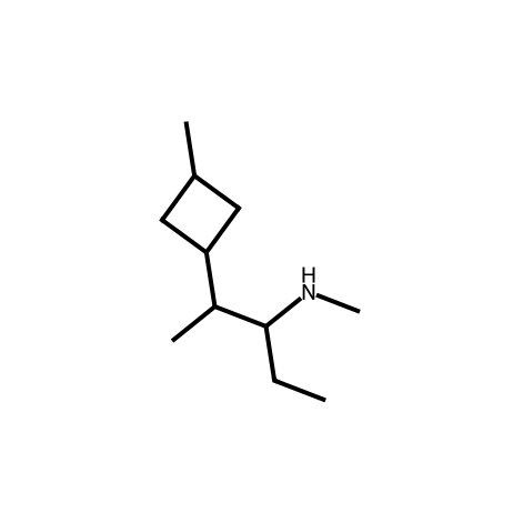 CCC(NC)C(C)C1CC(C)C1